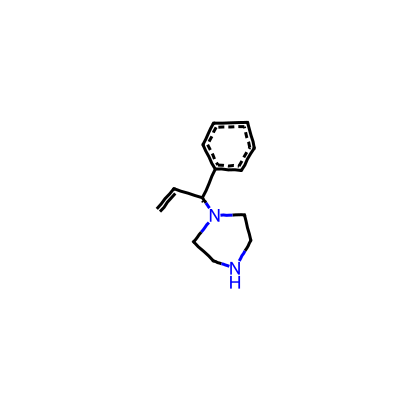 C=C[C](c1ccccc1)N1CCNCC1